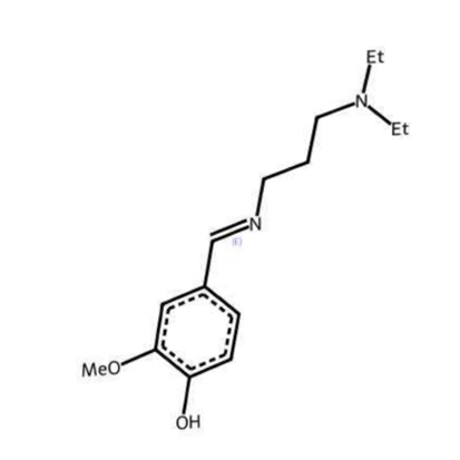 CCN(CC)CCC/N=C/c1ccc(O)c(OC)c1